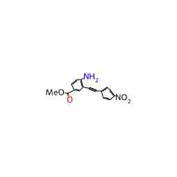 COC(=O)c1ccc(N)c(C#Cc2ccc([N+](=O)[O-])cc2)c1